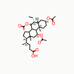 CC[C@H]1[C@@H](OC(C)=O)C2C3CC[C@H]([C@H](C)CCC(=O)O)[C@@]3(C)C[C@H](OC(C)=O)C2[C@@]2(C)CC[C@@H](OC(C)=O)C[C@@H]12